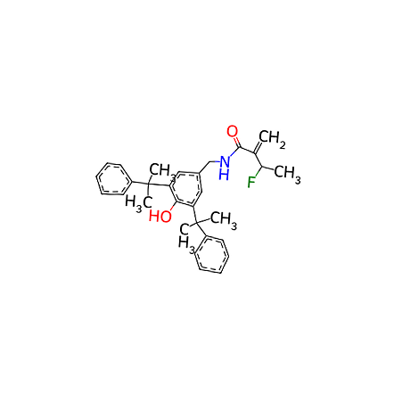 C=C(C(=O)NCc1cc(C(C)(C)c2ccccc2)c(O)c(C(C)(C)c2ccccc2)c1)C(C)F